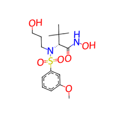 COc1cccc(S(=O)(=O)N(CCCO)[C@@H](C(=O)NO)C(C)(C)C)c1